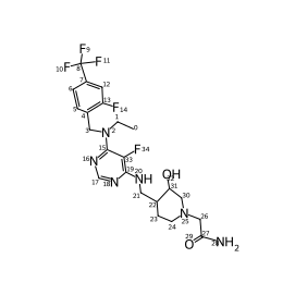 CCN(Cc1ccc(C(F)(F)F)cc1F)c1ncnc(NCC2CCN(CC(N)=O)CC2O)c1F